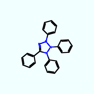 c1ccc(C2=NN(c3ccccc3)N(c3ccccc3)N2c2ccccc2)cc1